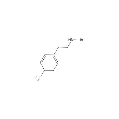 FC(F)(F)c1ccc(CCNBr)cc1